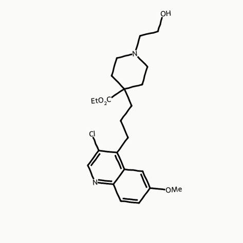 CCOC(=O)C1(CCCc2c(Cl)cnc3ccc(OC)cc23)CCN(CCO)CC1